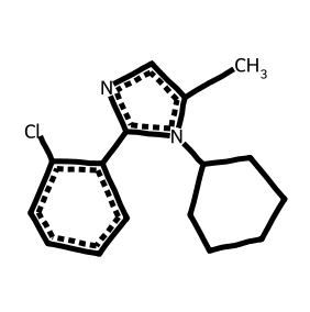 Cc1cnc(-c2ccccc2Cl)n1C1CCCCC1